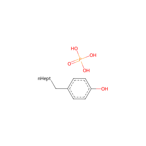 CCCCCCCCc1ccc(O)cc1.O=P(O)(O)O